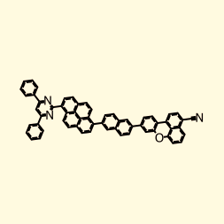 N#Cc1ccc2c3c(cccc13)Oc1cc(-c3ccc4cc(-c5ccc6ccc7c(-c8nc(-c9ccccc9)cc(-c9ccccc9)n8)ccc8ccc5c6c87)ccc4c3)ccc1-2